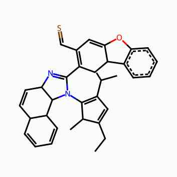 CCC1=CC(C(C)C)=C(N2C(C3=C(C=S)C=C4Oc5ccccc5C4C3)=NC3C=CC4C=CC=CC4C32)C1C